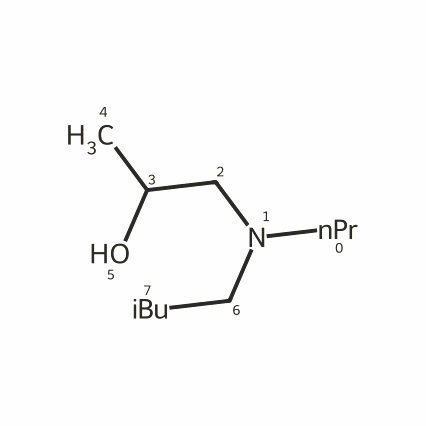 CCCN(CC(C)O)CC(C)CC